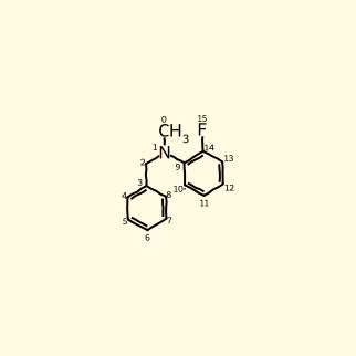 CN(Cc1ccccc1)c1[c]cccc1F